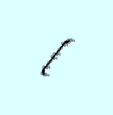 CC(C)(C)OC(=O)N1CCN(CCC(=O)NCCCOCCOCCOCCCNC(=O)CCCC(=O)NCCCOCCOCCOCCCNC(=O)CCN2CCN(C(=O)OC(C)(C)C)CC2)CC1